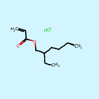 C=CC(=O)OCC(CC)CCCC.Cl